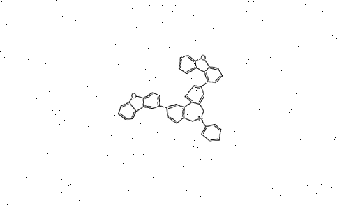 c1ccc(N2Cc3cc(-c4cccc5oc6ccccc6c45)ccc3-c3cc(-c4ccc5oc6ccccc6c5c4)ccc3C2)cc1